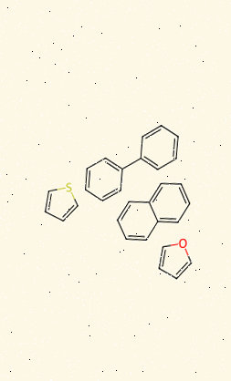 c1ccc(-c2ccccc2)cc1.c1ccc2ccccc2c1.c1ccoc1.c1ccsc1